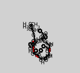 CC(C)(C)OC(=O)NCCOCCNC(=O)C1CCCN(C(=O)c2cccc(=O)n2OCc2ccccc2)CCCNC(=O)c2ccc(c(=O)n2OCc2ccccc2)C(=O)N[C@@H]2COC[C@@H]2NC(=O)c2ccc(n(OCc3ccccc3)c2=O)C(=O)NCCCN1C(=O)c1cccc(=O)n1OCc1ccccc1